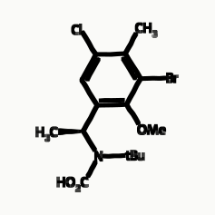 COc1c([C@H](C)N(C(=O)O)C(C)(C)C)cc(Cl)c(C)c1Br